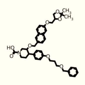 CC1(C)OCC(COc2ccc3cc(COC4CN(C(=O)O)CCC4c4ccc(OCCCOCc5ccccc5)cc4)ccc3c2)O1